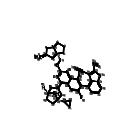 C=C1CN2CCC[C@@]2(COc2nc(N3C[C@@H]4CC[C@](C5CC5)(C3)N4)c3cc(F)c(-c4cccc5sc(N)c(C#N)c45)c(F)c3n2)C1